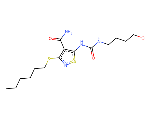 CCCCCCSc1nsc(NC(=O)NCCCCO)c1C(N)=O